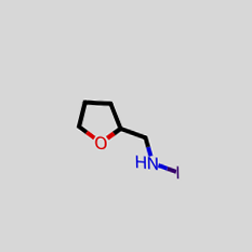 INCC1CCCO1